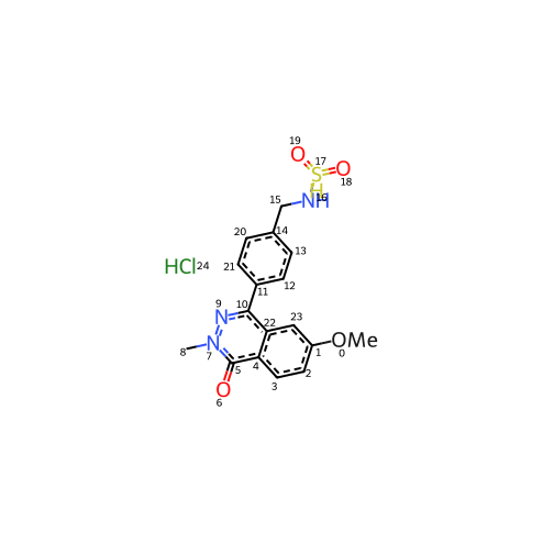 COc1ccc2c(=O)n(C)nc(-c3ccc(CN[SH](=O)=O)cc3)c2c1.Cl